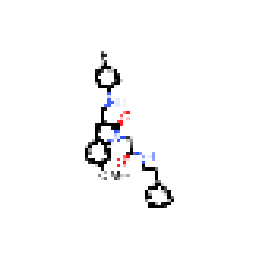 CCc1ccc(NCc2cc3ccc(OC)cc3n(CC(=O)NCCc3ccccc3)c2=O)cc1